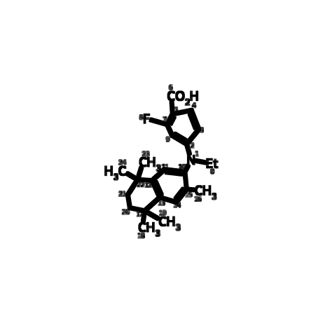 CCN(c1ccc(C(=O)O)c(F)c1)c1cc2c(cc1C)C(C)(C)CCC2(C)C